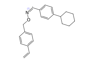 C=Cc1ccc(CO/N=[C]\c2ccc(C3CCCCC3)cc2)cc1